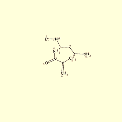 C=C(C)C(N)=O.CCNCCCN